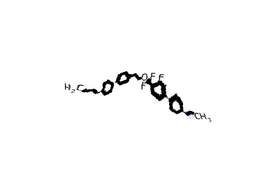 C=CCC[C@H]1CC[C@H](c2ccc(CCOC(F)(F)c3ccc([C@H]4CC[C@H](/C=C/C)CC4)cc3F)cc2)CC1